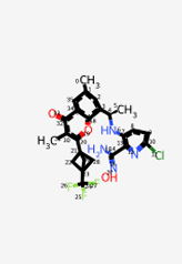 Cc1cc([C@@H](C)Nc2ccc(Cl)nc2/C(N)=N/O)c2oc(C34CC(C(F)(F)F)(C3)C4)c(C)c(=O)c2c1